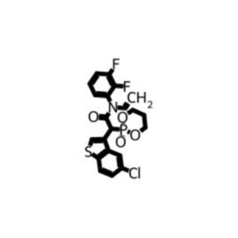 C=CN(C(=O)C(c1csc2ccc(Cl)cc12)P1(=O)OCCCO1)c1cccc(F)c1F